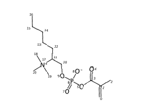 C=C(C)C(=O)OP(=O)([O-])OCC(CCCCC)[N+](C)(C)C